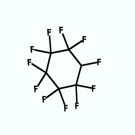 FC1C(F)(F)C(F)(F)C(F)(F)C(F)(F)C1(F)F